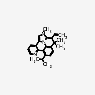 C=CC1C2N(C)C=C3c4cccnc4-c4c(C(C)C)ccc(c4N32)C1(C)C